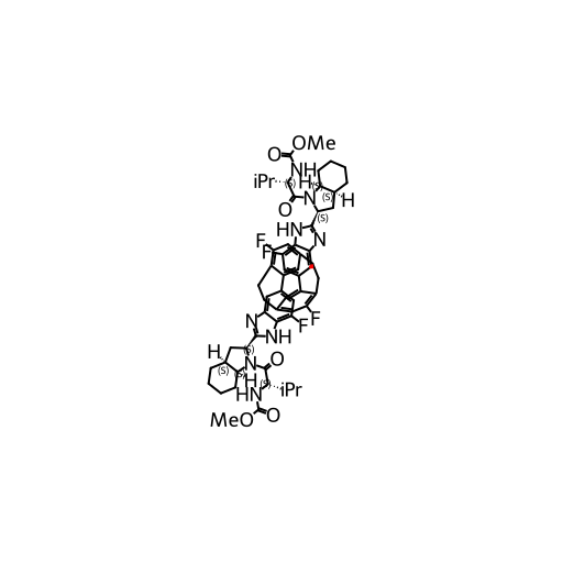 COC(=O)N[C@H](C(=O)N1[C@H](c2nc3cc(-c4cc5cc(F)c4CCc4cc(F)c(c(-c6cc(F)c7[nH]c([C@@H]8C[C@@H]9CCCC[C@@H]9N8C(=O)[C@@H](NC(=O)OC)C(C)C)nc7c6)c4)CC5)cc(F)c3[nH]2)C[C@@H]2CCCC[C@@H]21)C(C)C